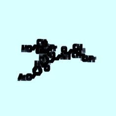 CC(=O)OCc1ccc(NC(=O)[C@H](CCCCNC(=O)CCC(C)(C)OCCOC(C)C)NC(=O)C(NC(=O)C(C)(C)CCO)C(C)C)cc1